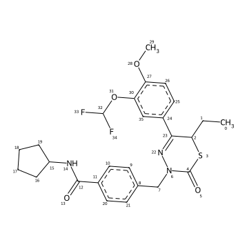 CCC1SC(=O)N(Cc2ccc(C(=O)NC3CCCC3)cc2)N=C1c1ccc(OC)c(OC(F)F)c1